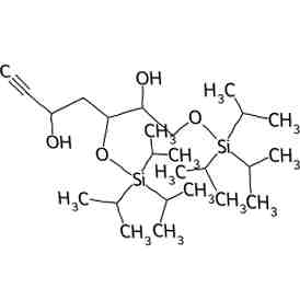 C#CC(O)CC(O[Si](C(C)C)(C(C)C)C(C)C)C(O)CO[Si](C(C)C)(C(C)C)C(C)C